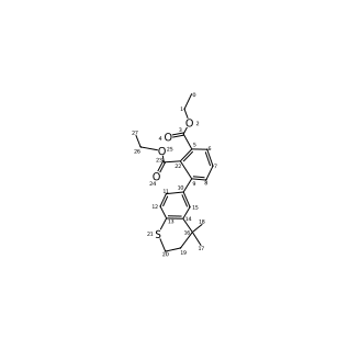 CCOC(=O)c1cccc(-c2ccc3c(c2)C(C)(C)CCS3)c1C(=O)OCC